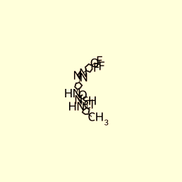 Cc1ccc(N/C(S)=N/C(=O)Nc2ccc(-c3ncn(-c4ccc(OC(F)(F)F)cc4)n3)cc2)c(Cl)c1